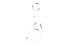 O=C1CCCCCc2ccc(C(=O)Nc3ccccn3)cc2B(O)O1